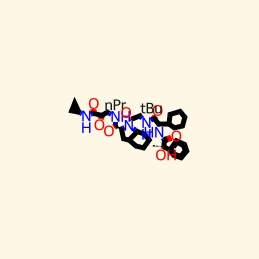 CCC[C@H](NC(=O)[C@@H]1CC2CCCCC2N1C(=O)[C@@H](NC(=O)[C@@H](NC(=O)[C@](C)(O)c1ccccc1)C1CCCCC1)C(C)(C)C)C(=O)C(=O)NC1CC1